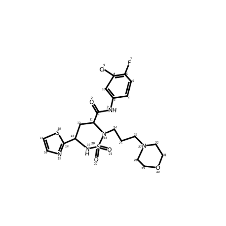 O=C(Nc1ccc(F)c(Cl)c1)C1CC(c2nccs2)NS(=O)(=O)N1CCCN1CCOCC1